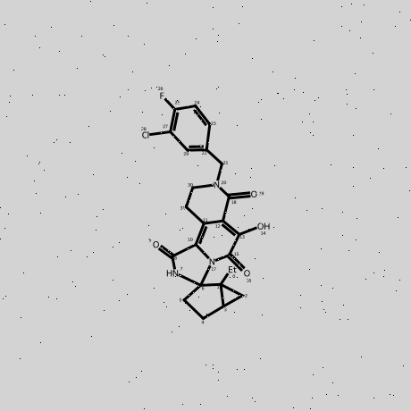 CCC12CC1CCC21NC(=O)c2c3c(c(O)c(=O)n21)C(=O)N(Cc1ccc(F)c(Cl)c1)CC3